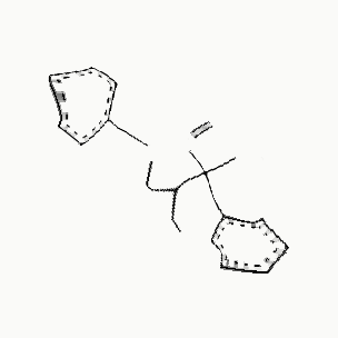 CCOC(=O)C(CSc1ccccc1)C(C)(P=O)c1ccccc1